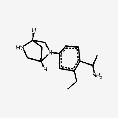 CCc1cc(N2C[C@@H]3C[C@H]2CN3)ccc1C(C)N